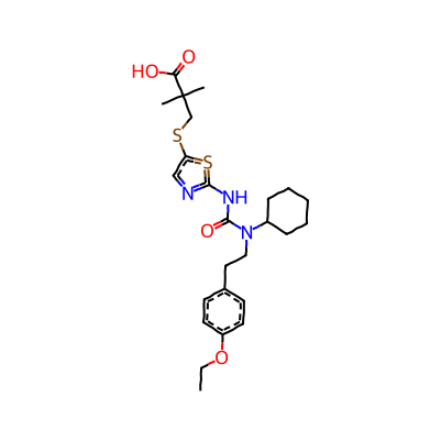 CCOc1ccc(CCN(C(=O)Nc2ncc(SCC(C)(C)C(=O)O)s2)C2CCCCC2)cc1